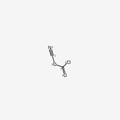 N#COC(=O)Cl